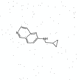 c1cc2cc(NCC3CC3)ccc2cn1